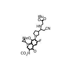 COc1c(N2CCC(C(CC#N)NCC(=O)OC(C)(C)C)C2)c(F)cc2c(=O)c(C(=O)O)cn(C3CC3)c12